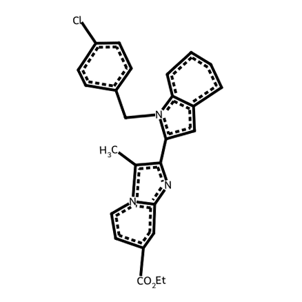 CCOC(=O)c1ccn2c(C)c(-c3cc4ccccc4n3Cc3ccc(Cl)cc3)nc2c1